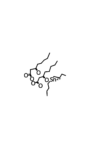 CCCCCC(=O)CC(=O)[O-].CCCCCC(=O)CC(=O)[O-].CCC[CH2][Sn+2][CH2]CCC